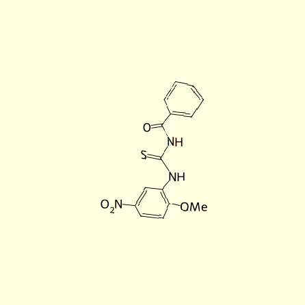 COc1ccc([N+](=O)[O-])cc1NC(=S)NC(=O)c1ccccc1